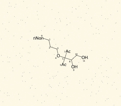 CCCCCCCCCCCCOC(C(C)=O)(C(C)=O)C(O)CO